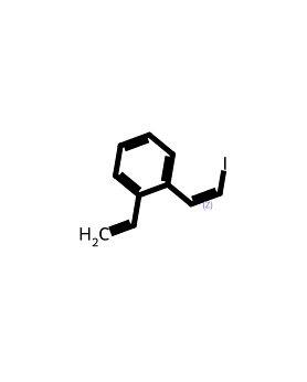 C=Cc1ccccc1/C=C\I